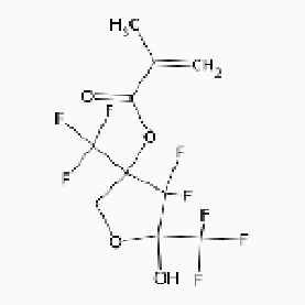 C=C(C)C(=O)OC1(C(F)(F)F)COC(O)(C(F)(F)F)C1(F)F